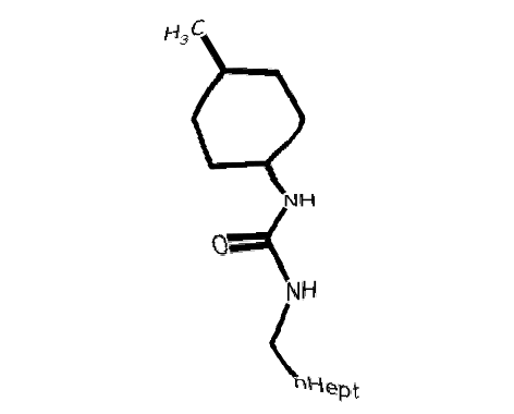 CCCCCCCCNC(=O)NC1CCC(C)CC1